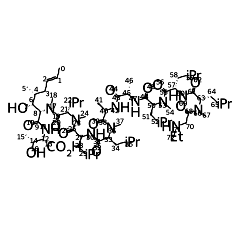 CC=CC[C@@H](C)[C@@H](O)[C@@H](C(=O)N[C@H](C(=O)O)[C@@H](C)O)N(C)C(=O)[C@H](C(C)C)N(C)C(=O)[C@H](CC(C)C)NC(=O)[C@H](CC(C)C)N(C)C(=O)[C@@H](C)NC(=O)[C@H](C)NC(=O)[C@H](CC(C)C)N(C)C(=O)[C@H](CC(C)C)NC(=O)[C@H](CC(C)C)N(C)C(=O)CNCC